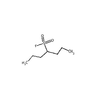 CCCC(CCC)S(=O)(=O)F